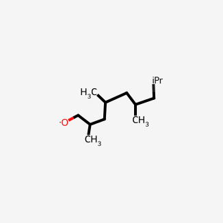 CC(C)CC(C)CC(C)CC(C)C[O]